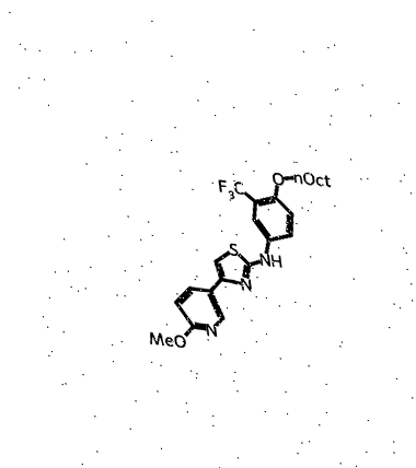 CCCCCCCCOc1ccc(Nc2nc(-c3ccc(OC)nc3)cs2)cc1C(F)(F)F